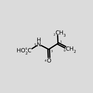 C=C(C)C(=O)NC(=O)O